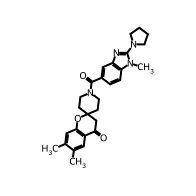 Cc1cc2c(cc1C)C(=O)CC1(CCN(C(=O)c3ccc4c(c3)nc(N3CCCC3)n4C)CC1)O2